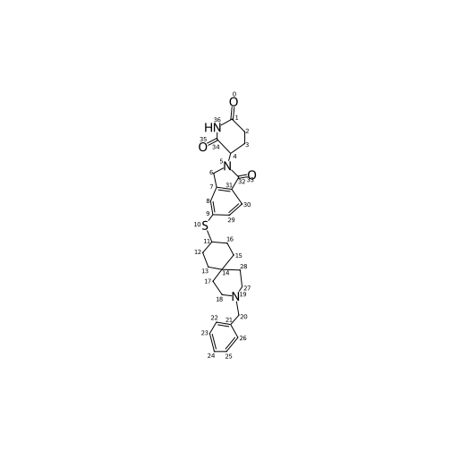 O=C1CCC(N2Cc3cc(SC4CCC5(CC4)CCN(Cc4ccccc4)CC5)ccc3C2=O)C(=O)N1